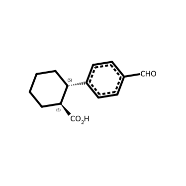 O=Cc1ccc([C@H]2CCCC[C@@H]2C(=O)O)cc1